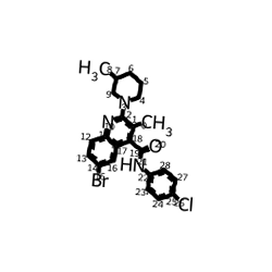 Cc1c(N2CCCC(C)C2)nc2ccc(Br)cc2c1C(=O)Nc1[c]cc(Cl)cc1